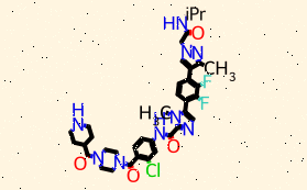 Cc1nn(CC(=O)NC(C)C)cc1-c1ccc(-c2cnc(C(=O)Nc3ccc(C(=O)N4CCN(C(=O)C5CCNCC5)CC4)c(Cl)c3)n2C)c(F)c1F